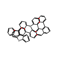 c1ccc(-c2cccc3cccc(-c4ccccc4N(c4cccc(-c5cccc6sc7ccccc7c56)c4)c4ccccc4-c4ccc5c(c4)oc4ccccc45)c23)cc1